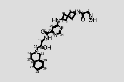 O=C(/C=N\O)NC1CC2(C1)CC(Nc1cc(C(=O)NC[C@H](O)CN3CCc4ccccc4C3)ncn1)C2